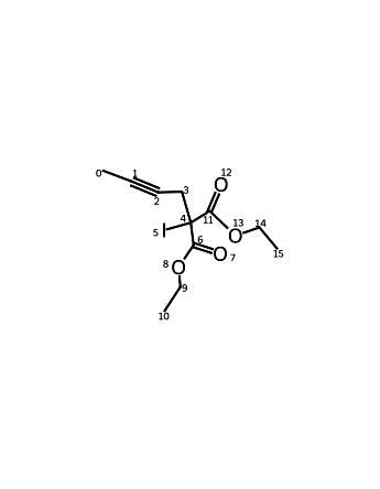 CC#CCC(I)(C(=O)OCC)C(=O)OCC